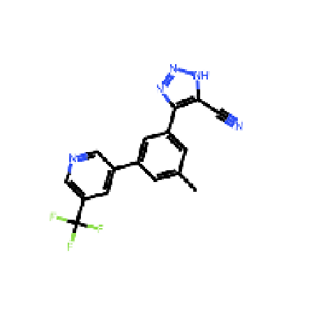 Cc1cc(-c2cncc(C(F)(F)F)c2)cc(-c2nn[nH]c2C#N)c1